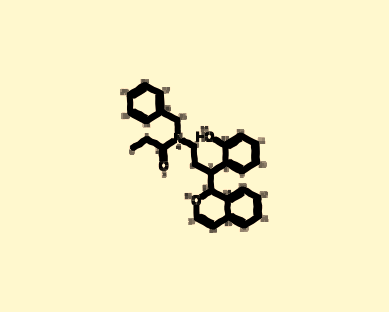 CCC(=O)N(CCC(c1ccccc1O)C1OC=Cc2ccccc21)Cc1ccccc1